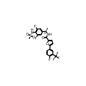 C[C@@H](NC(=O)c1ccc(-c2ccc(F)c(C(F)(F)F)c2)o1)c1cc(F)c(NS(C)(=O)=O)c(F)c1